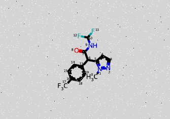 Cn1nccc1C(C(=O)NC(F)F)c1ccc(C(F)(F)F)cc1